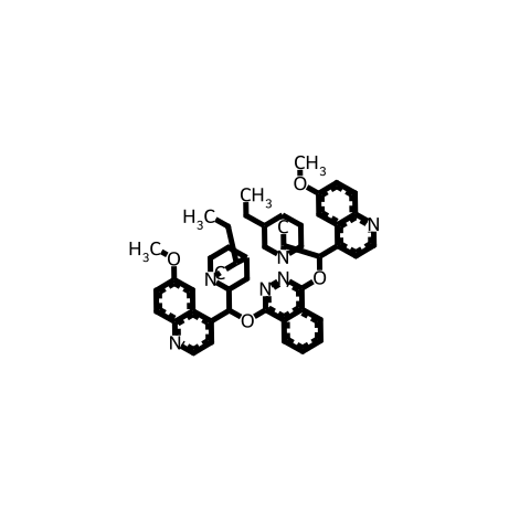 CCC1CN2CCC1CC2C(Oc1nnc(OC(c2ccnc3ccc(OC)cc23)C2CC3CCN2CC3CC)c2ccccc12)c1ccnc2ccc(OC)cc12